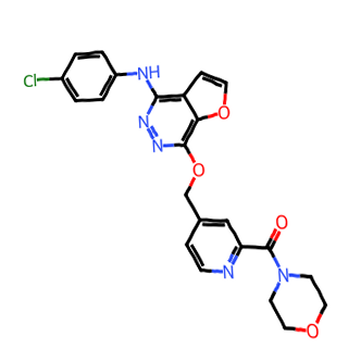 O=C(c1cc(COc2nnc(Nc3ccc(Cl)cc3)c3ccoc23)ccn1)N1CCOCC1